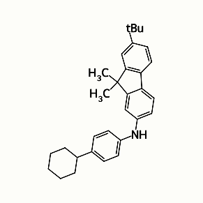 CC(C)(C)c1ccc2c(c1)C(C)(C)c1cc(Nc3ccc(C4CCCCC4)cc3)ccc1-2